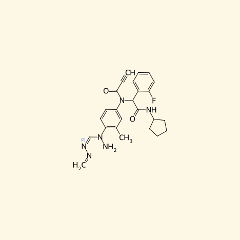 C#CC(=O)N(c1ccc(N(N)/C=N\N=C)c(C)c1)C(C(=O)NC1CCCC1)c1ccccc1F